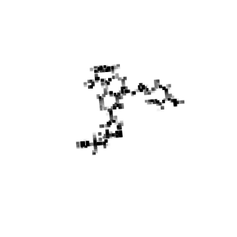 COC(=O)N1c2ccc(-c3cnn(CC(C)(C)O)c3)cc2N(COc2ccc(F)cc2)C[C@@H]1C